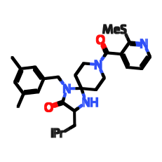 CSc1ncccc1C(=O)N1CCC2(CC1)NC(CC(C)C)C(=O)N2Cc1cc(C)cc(C)c1